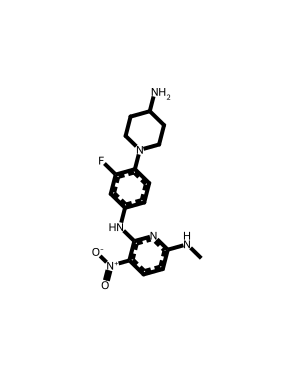 CNc1ccc([N+](=O)[O-])c(Nc2ccc(N3CCC(N)CC3)c(F)c2)n1